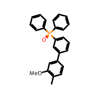 COc1cc(-c2[c]ccc(P(=O)(c3ccccc3)c3ccccc3)c2)ccc1C